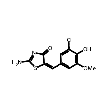 COc1cc(C=C2SC(N)=NC2=O)cc(Cl)c1O